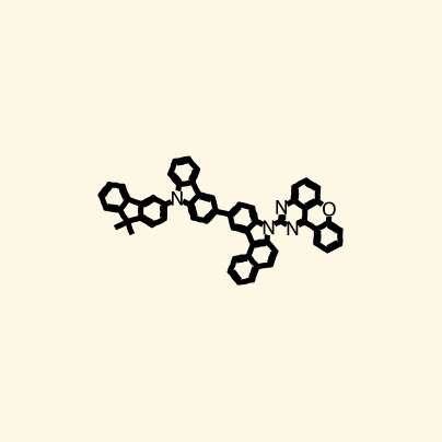 CC1(C)c2ccccc2-c2cc(-n3c4ccccc4c4cc(-c5ccc6c(c5)c5c7ccccc7ccc5n6-c5nc6c7c(cccc7n5)Oc5ccccc5-6)ccc43)ccc21